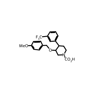 COc1ccc(COC2CN(C(=O)O)CCC2c2cccc(C(F)(F)F)c2)cc1